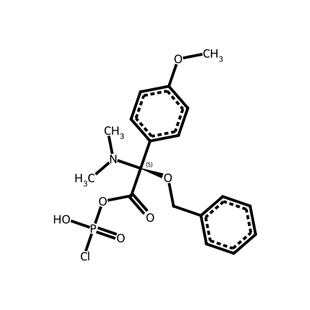 COc1ccc([C@](OCc2ccccc2)(C(=O)OP(=O)(O)Cl)N(C)C)cc1